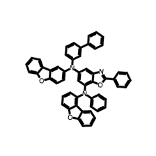 c1ccc(-c2cccc(N(c3cc(N(c4ccccc4)c4cccc5oc6ccccc6c45)c4oc(-c5ccccc5)nc4c3)c3ccc4oc5ccccc5c4c3)c2)cc1